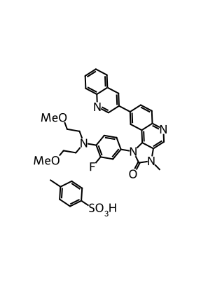 COCCN(CCOC)c1ccc(-n2c(=O)n(C)c3cnc4ccc(-c5cnc6ccccc6c5)cc4c32)cc1F.Cc1ccc(S(=O)(=O)O)cc1